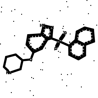 O=S(=O)(c1cccc2ccccc12)c1n[nH]c2ccc(OC3CCCNC3)cc12